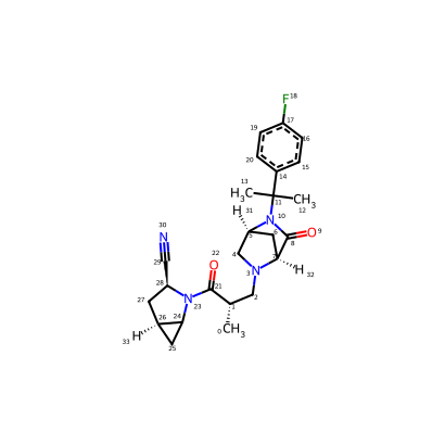 C[C@@H](CN1C[C@@H]2C[C@H]1C(=O)N2C(C)(C)c1ccc(F)cc1)C(=O)N1C2C[C@H]2C[C@H]1C#N